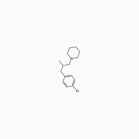 CCc1ccc(CC(C)CN2CCCCC2)cc1